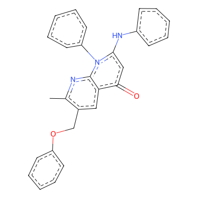 Cc1nc2c(cc1COc1ccccc1)c(=O)cc(Nc1ccccc1)n2-c1ccccc1